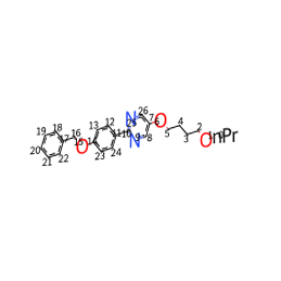 CCCOCCCCOc1cnc(-c2ccc(OCc3ccccc3)cc2)nc1